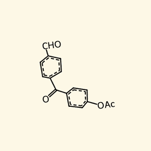 CC(=O)Oc1ccc(C(=O)c2ccc(C=O)cc2)cc1